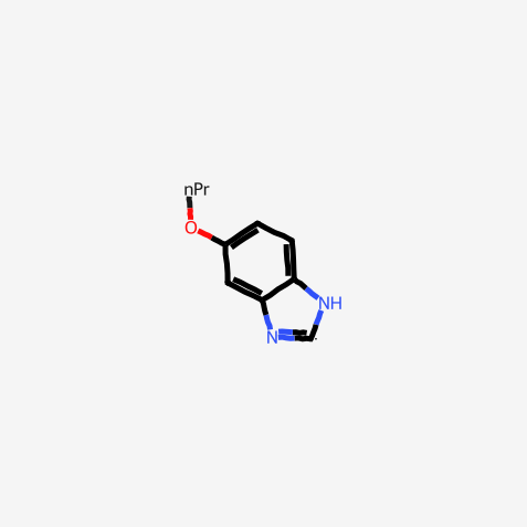 CCCOc1ccc2[nH][c]nc2c1